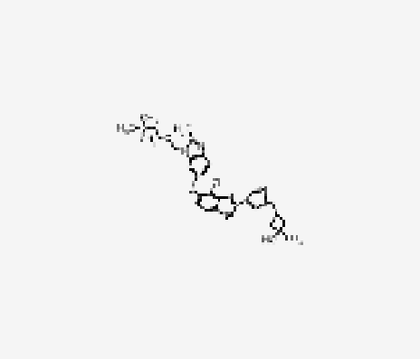 Cc1nc2ccc(Oc3ccc4ncc(-c5cnn(CC6CC(C)(O)C6)c5)nc4c3Cl)cc2n1COCC[Si](C)(C)C